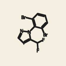 FC(F)c1[c]cnn1-c1c(Br)cccc1Br